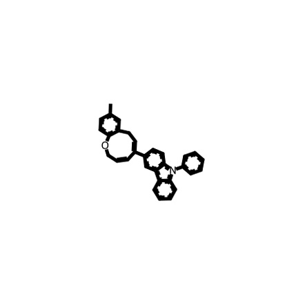 Cc1ccc2c(c1)C/C=C(c1ccc3c(c1)c1ccccc1n3-c1ccccc1)\C=C/CO2